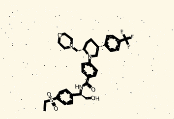 CCS(=O)(=O)c1ccc([C@H](CO)NC(=O)c2ccc(N3C[C@@H](c4ccc(C(F)(F)F)cc4)CC[C@H]3CN3CCOCC3)cc2)cc1